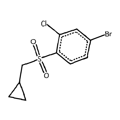 O=S(=O)(CC1CC1)c1ccc(Br)cc1Cl